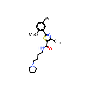 COc1ccc(C(C)C)cc1-c1nc(C)c(C(=O)NCCCCN2CCCC2)s1